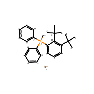 CC(C)(C)c1cccc([P+](C)(c2ccccc2)c2ccccc2)c1C(C)(C)C.[Br-]